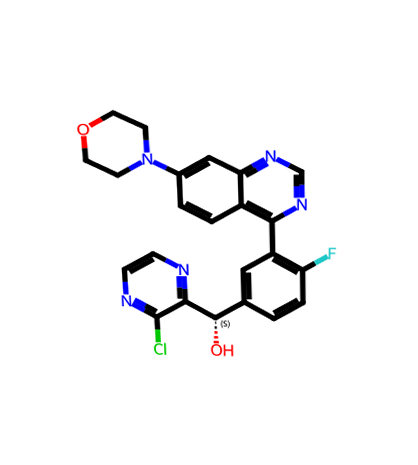 O[C@@H](c1ccc(F)c(-c2ncnc3cc(N4CCOCC4)ccc23)c1)c1nccnc1Cl